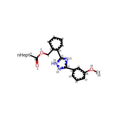 CCCCCCCC(=O)OCc1ccccc1-c1nc(-c2cccc(OCC)c2)n[nH]1